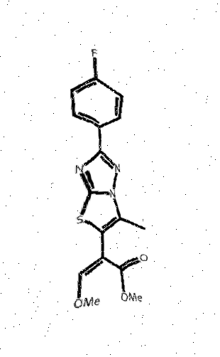 COC=C(C(=O)OC)c1sc2nc(-c3ccc(F)cc3)nn2c1C